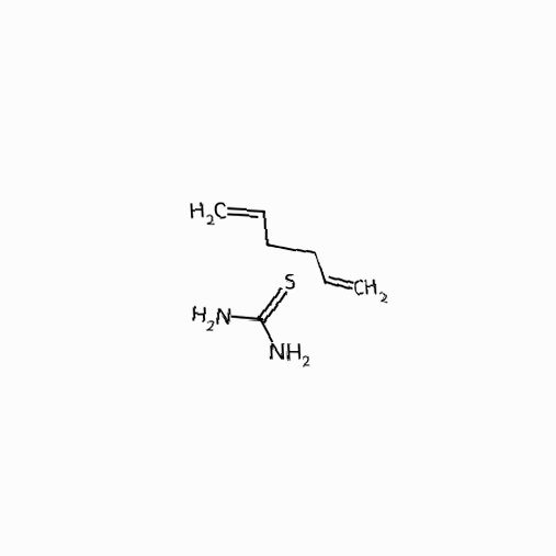 C=CCCC=C.NC(N)=S